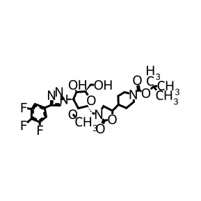 CO[C@@H]1[C@@H](n2cc(-c3cc(F)c(F)c(F)c3)nn2)[C@@H](O)[C@@H](CO)O[C@@H]1CN1CC(C2CCN(C(=O)OC(C)(C)C)CC2)OC1=O